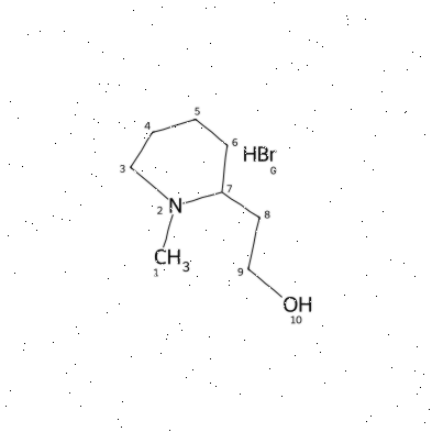 Br.CN1CCCCC1CCO